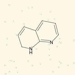 [C]1=Cc2cccnc2NC1